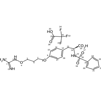 N=C(N)NOCCCOc1ccc(C[C@H](NS(=O)(=O)c2ccccc2)C(=O)O)cc1.O=C(O)C(F)(F)F